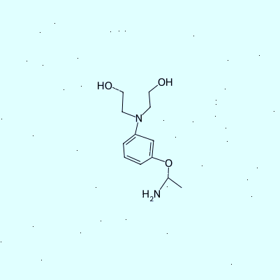 CC(N)Oc1cccc(N(CCO)CCO)c1